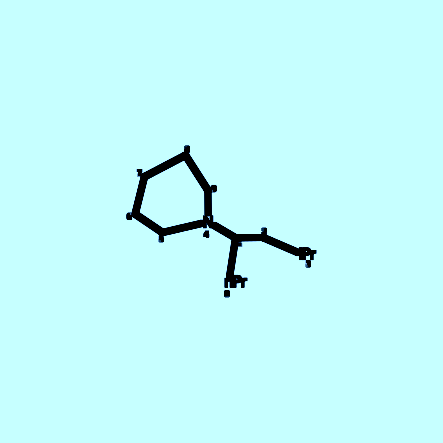 CCCC(CC(C)C)N1CCCCC1